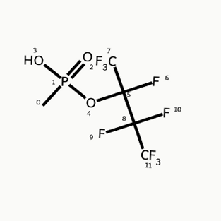 CP(=O)(O)OC(F)(C(F)(F)F)C(F)(F)C(F)(F)F